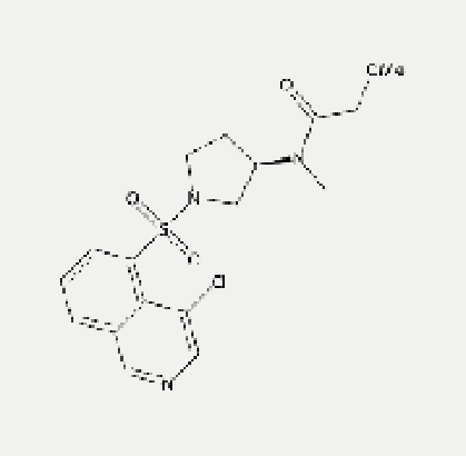 COCC(=O)N(C)[C@@H]1CCN(S(=O)(=O)c2cccc3cncc(Cl)c23)C1